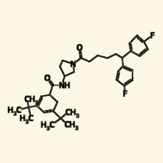 CC(C)(C)C1=CC(C(=O)NC2CCN(C(=O)CCCCC(c3ccc(F)cc3)c3ccc(F)cc3)C2)CC(C(C)(C)C)=C1